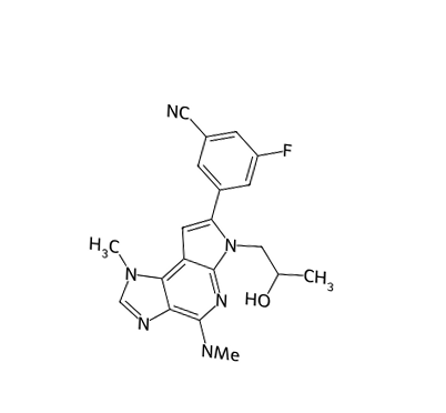 CNc1nc2c(cc(-c3cc(F)cc(C#N)c3)n2CC(C)O)c2c1ncn2C